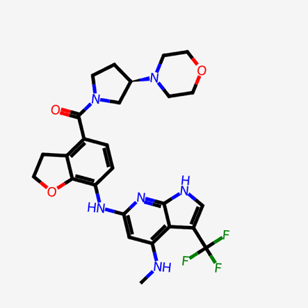 CNc1cc(Nc2ccc(C(=O)N3CC[C@@H](N4CCOCC4)C3)c3c2OCC3)nc2[nH]cc(C(F)(F)F)c12